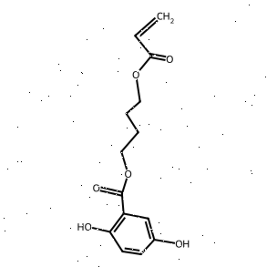 C=CC(=O)OCCCCOC(=O)c1cc(O)ccc1O